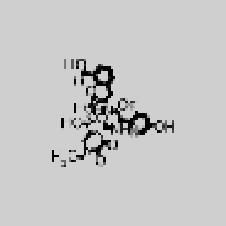 CCN1C[C@H](C(=O)O)N(C(=O)NC(C(=O)N[C@H]2Cc3cccc(C(=O)O)c3OB2O)c2ncc(O)cc2F)C(=O)C1=O